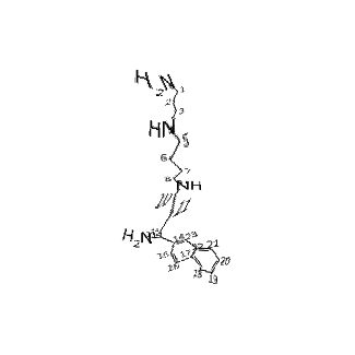 NCCCNCCCCNCCC(N)c1ccc2ccccc2c1